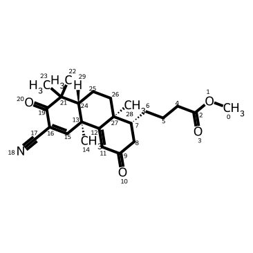 COC(=O)CCC[C@@H]1CC(=O)C=C2[C@@]3(C)C=C(C#N)C(=O)C(C)(C)[C@@H]3CC[C@]21C